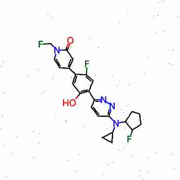 O=c1cc(-c2cc(O)c(-c3ccc(N(C4CC4)C4CCCC4F)nn3)cc2F)ccn1CF